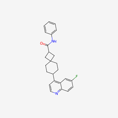 O=C(Nc1ccccc1)C1CC2(CCC(c3ccnc4ccc(F)cc34)CC2)C1